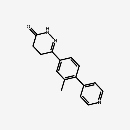 Cc1cc(C2=NNC(=O)CC2)ccc1-c1ccncc1